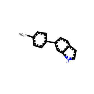 O=C(O)c1ccc(-c2ccc3cc[nH]c3c2)cc1